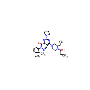 C=CC(=O)N1CCN(c2nc(N3CCCC3)nc3c(=O)n(-c4cccc(C)c4C(F)(F)F)ncc23)CC1CC#N